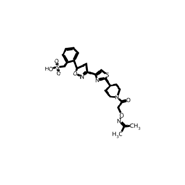 CC(C)=NOCC(=O)N1CCC(c2nc(C3=NOC(c4ccccc4CS(=O)(=O)O)C3)cs2)CC1